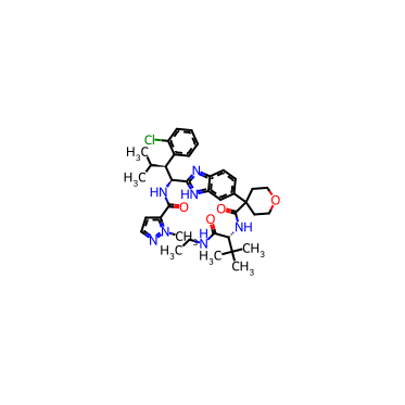 CCNC(=O)[C@H](NC(=O)C1(c2ccc3nc([C@@H](NC(=O)c4ccnn4C)[C@H](c4ccccc4Cl)C(C)C)[nH]c3c2)CCOCC1)C(C)(C)C